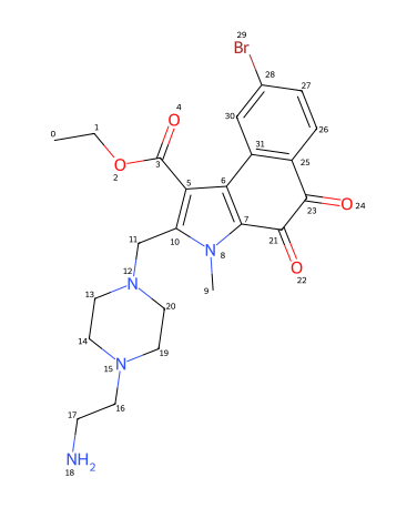 CCOC(=O)c1c2c(n(C)c1CN1CCN(CCN)CC1)C(=O)C(=O)c1ccc(Br)cc1-2